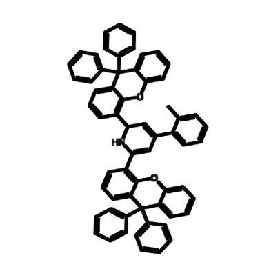 Cc1ccccc1C1=CC(c2cccc3c2Oc2ccccc2C3(c2ccccc2)c2ccccc2)NC(c2cccc3c2Oc2ccccc2C3(c2ccccc2)c2ccccc2)=C1